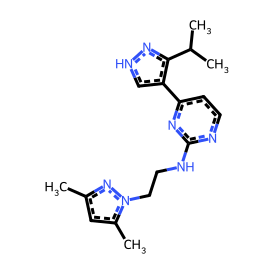 Cc1cc(C)n(CCNc2nccc(-c3c[nH]nc3C(C)C)n2)n1